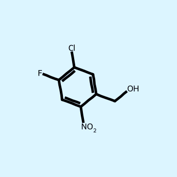 O=[N+]([O-])c1cc(F)c(Cl)cc1CO